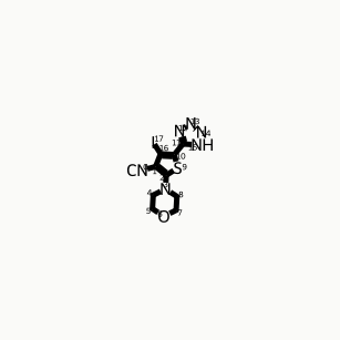 [C-]#[N+]c1c(N2CCOCC2)sc(-c2nnn[nH]2)c1I